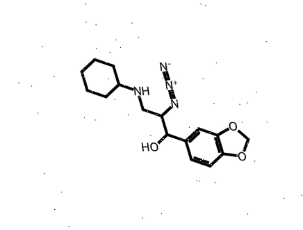 [N-]=[N+]=NC(CNC1CCCCC1)C(O)c1ccc2c(c1)OCO2